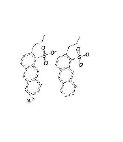 CCCc1ccc2cc3ccccc3cc2c1S(=O)(=O)[O-].CCCc1ccc2cc3ccccc3cc2c1S(=O)(=O)[O-].[Ni+2]